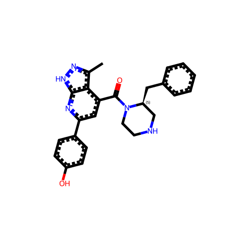 Cc1n[nH]c2nc(-c3ccc(O)cc3)cc(C(=O)N3CCNC[C@@H]3Cc3ccccc3)c12